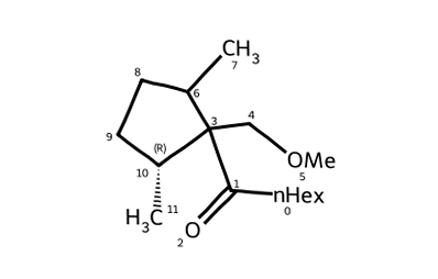 CCCCCCC(=O)C1(COC)C(C)CC[C@H]1C